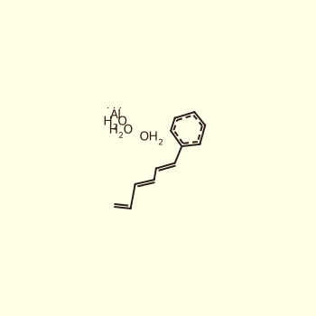 C=CC=CC=Cc1ccccc1.O.O.O.[Al]